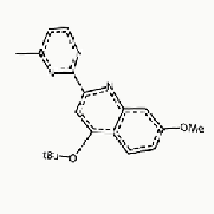 COc1ccc2c(OC(C)(C)C)cc(-c3nccc(C)n3)nc2c1